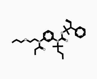 C=CC(c1ccccc1)C(C)(C)OC(=O)N(c1cccc(N(CCOCCC)C(=O)CC)c1)C(C)(C)CCC